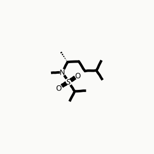 CC(C)CC[C@@H](C)N(C)S(=O)(=O)C(C)C